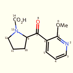 COc1ncccc1C(=O)C1CCCN1C(=O)O